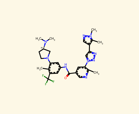 Cc1ncc(C(=O)Nc2cc(N3CC[C@@H](N(C)C)C3)c(C)c(C(F)(F)F)c2)cc1-n1cc(-c2cnn(C)c2C)nn1